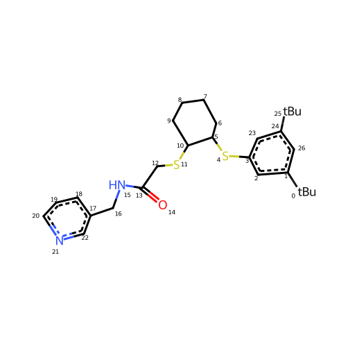 CC(C)(C)c1cc(SC2CCCCC2SCC(=O)NCc2cccnc2)cc(C(C)(C)C)c1